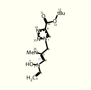 C=CN(O)/C=C(/Cn1cc(C(=O)OC(C)(C)C)nn1)NC